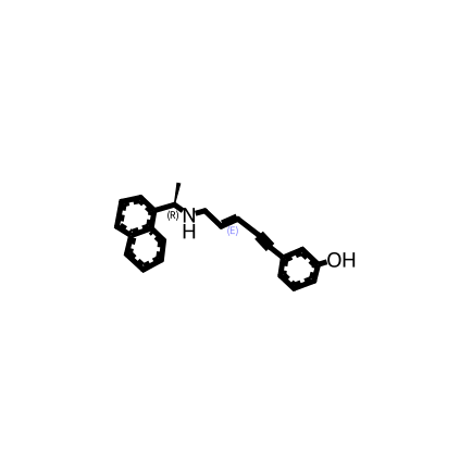 C[C@@H](NC/C=C/C#Cc1cccc(O)c1)c1cccc2ccccc12